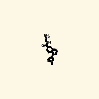 Cn1cc(-c2cccc3cc(C(=O)NC=NN)ccc23)cn1